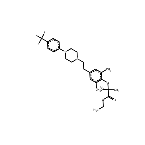 CCOC(=O)C(C)(C)Oc1c(C)cc(CCN2CCN(c3ccc(C(F)(F)F)cc3)CC2)cc1C